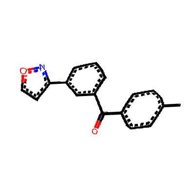 Cc1ccc(C(=O)c2cccc(-c3ccon3)c2)cc1